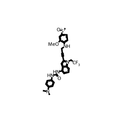 COc1cc([S+](C)[O-])ccc1NCC#Cc1cc2c(NC(=O)Nc3ccc(N(C)C)cc3)cccc2n1CC(F)(F)F